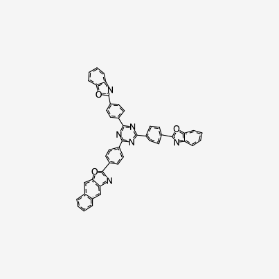 c1ccc2cc3oc(-c4ccc(-c5nc(-c6ccc(-c7nc8ccccc8o7)cc6)nc(-c6ccc(-c7nc8ccccc8o7)cc6)n5)cc4)nc3cc2c1